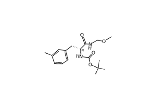 COCNC(=O)[C@@H](Cc1cccc(C)c1)NC(=O)OC(C)(C)C